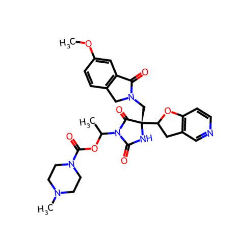 COc1ccc2c(c1)C(=O)N(C[C@@]1(C3Cc4cnccc4O3)NC(=O)N(C(C)OC(=O)N3CCN(C)CC3)C1=O)C2